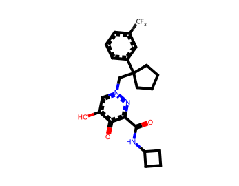 O=C(NC1CCC1)c1nn(CC2(c3cccc(C(F)(F)F)c3)CCCC2)cc(O)c1=O